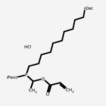 C=CC(=O)OC(C)P(CCCCCCCCCCCCCCCCCCCC)C(C)CCC.Cl